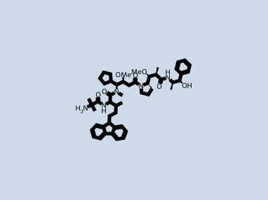 CO[C@H]([C@@H](C)C(=O)N[C@H](C)[C@H](O)c1ccccc1)[C@@H]1CCCN1C(=O)C[C@H](OC)[C@H](C1CCCC1)N(C)C(=O)C(NC(=O)C(C)(C)N)C(C)CCC1c2ccccc2-c2ccccc21